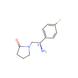 N[C@@H](CN1CCCC1=O)c1ccc(F)cc1